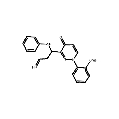 COc1ccccc1-n1ccc(=O)c(C(CC=N)Nc2ccccc2)n1